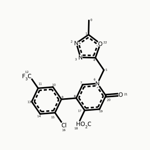 Cc1nnc(Cn2cc(-c3cc(C(F)(F)F)ccc3Cl)c(C(=O)O)cc2=O)o1